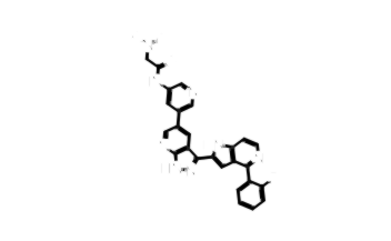 CN(C)CC(=O)Nc1cncc(-c2cnc3[nH]nc(-c4cc5c(-c6ccccc6F)nccc5[nH]4)c3c2)c1